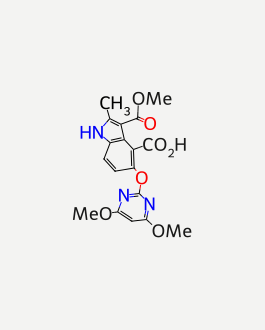 COC(=O)c1c(C)[nH]c2ccc(Oc3nc(OC)cc(OC)n3)c(C(=O)O)c12